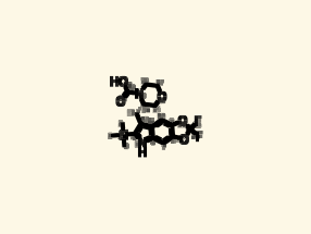 C[Si](C)(C)c1[nH]c2cc3c(cc2c1C[C@H]1COCCN1C(=O)O)OC(F)(F)O3